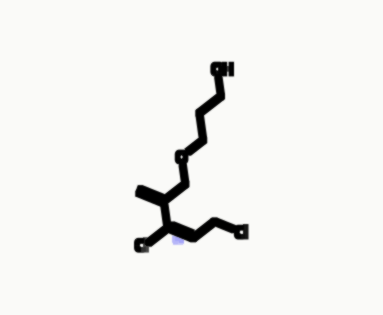 C=C(COCCCO)/C(Cl)=C\CCl